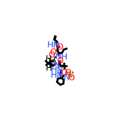 C=CCNC(=O)C(=O)C(CCC)NC(=O)[C@@H]1[C@@H]2[C@H](CN1C(=O)[C@@H](NC(=O)NC1(CN(C)S(C)(=O)=O)CCCCC1)C(C)(C)C)C2(C)C